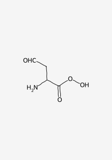 NC(CC=O)C(=O)OO